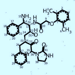 Cc1cccc(C)c1OCC(=O)N[C@@H](C(N)c1ccccc1)[C@@H](O)C[C@H](Cc1ccccc1)C(=O)C(C(C)C)N1CCNC1=O